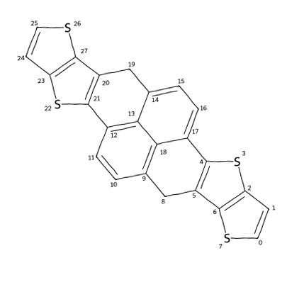 c1cc2sc3c(c2s1)Cc1ccc2c4c(ccc-3c14)Cc1c-2sc2ccsc12